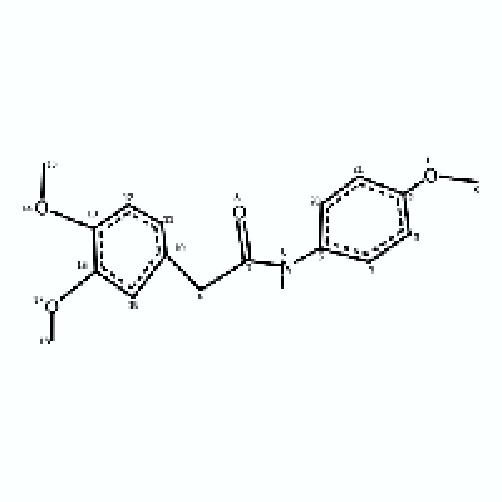 COc1ccc(NC(=O)Cc2ccc(OC)c(OC)c2)cc1